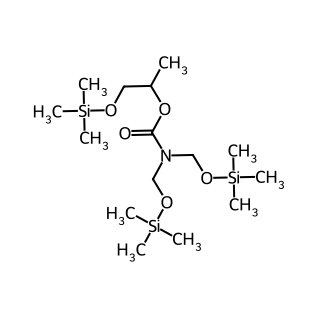 CC(CO[Si](C)(C)C)OC(=O)N(CO[Si](C)(C)C)CO[Si](C)(C)C